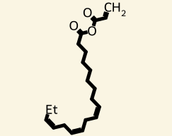 C=CC(=O)OC(=O)CCCCCCC/C=C\C/C=C\C/C=C\CC